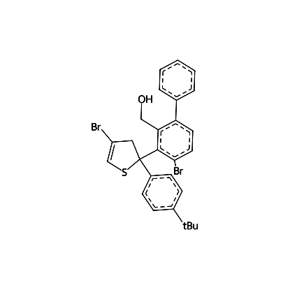 CC(C)(C)c1ccc(C2(c3c(Br)ccc(-c4ccccc4)c3CO)CC(Br)=CS2)cc1